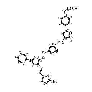 CCc1nc(C=Cc2cn(-c3ccccc3)nc2OCc2cc(OCc3nc(-c4ccc(CC(=O)O)cc4)oc3C)no2)cs1